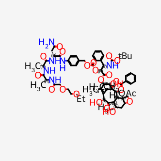 CCOCCOCC(=O)N[C@H](C)C(=O)N[C@H](C)C(=O)N[C@H](CC(N)=O)C(=O)Nc1ccc(COC(=O)O[C@@H](C(=O)O[C@H]2C[C@@]3(O)[C@@H](OC(=O)c4ccccc4)[C@H]4[C@](C)(C(=O)[C@H](O)C(=C2C)C3(C)C)[C@@H](O)CC2OC[C@]24OC(C)=O)[C@@H](NC(=O)OC(C)(C)C)c2ccccc2)cc1